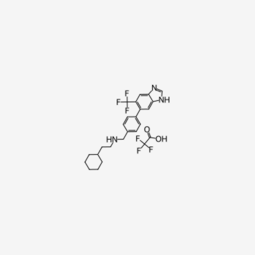 FC(F)(F)c1cc2nc[nH]c2cc1-c1ccc(CNCCC2CCCCC2)cc1.O=C(O)C(F)(F)F